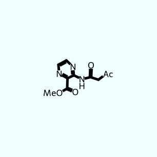 COC(=O)c1nccnc1NC(=O)CC(C)=O